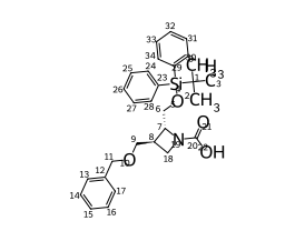 CC(C)(C)[Si](OC[C@H]1[C@H](COCc2ccccc2)CN1C(=O)O)(c1ccccc1)c1ccccc1